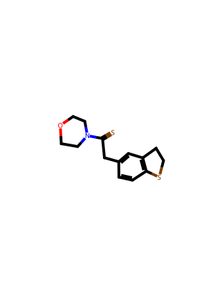 S=C(Cc1ccc2c(c1)CCS2)N1CCOCC1